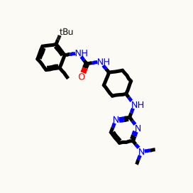 Cc1cccc(C(C)(C)C)c1NC(=O)NC1CCC(Nc2nccc(N(C)C)n2)CC1